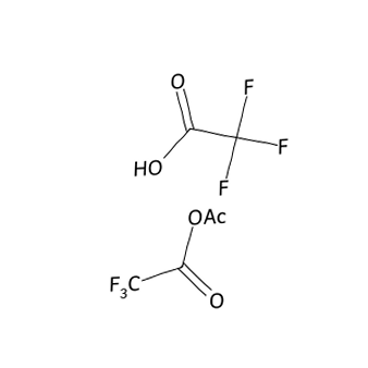 CC(=O)OC(=O)C(F)(F)F.O=C(O)C(F)(F)F